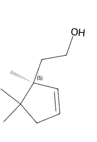 CC1(C)CC=C[C@]1(C)CCO